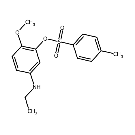 CCNc1ccc(OC)c(OS(=O)(=O)c2ccc(C)cc2)c1